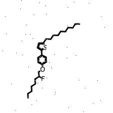 CCCCCCCCCCc1ccc(-c2ccc(OCC(F)CCCCCC)cc2)s1